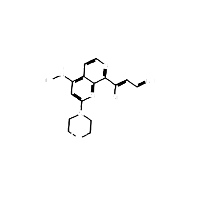 CC(C)Nc1cc(N2CCOCC2)nc2c(/C(N)=C/C=N)nccc12